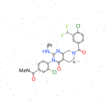 CNC(=O)c1ccc(-n2c(NC(C)C)nc3c(c2=O)C[C@@H](C)N(C(=O)c2ccc(Cl)c(C(F)F)c2)C3)c(Cl)c1